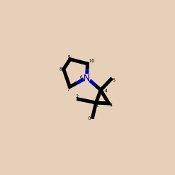 CC1(C)CC1(C)N1CCCC1